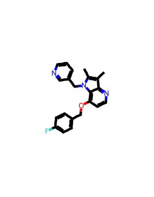 Cc1c(C)n(Cc2cccnc2)c2c(OCc3ccc(F)cc3)ccnc12